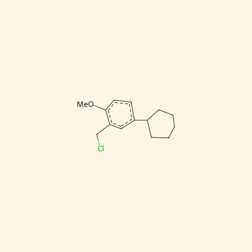 COc1ccc(C2CCCCC2)cc1CCl